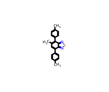 Cc1ccc(-c2cc(C)c(-c3ccc(C)cc3)c3nsnc23)cc1